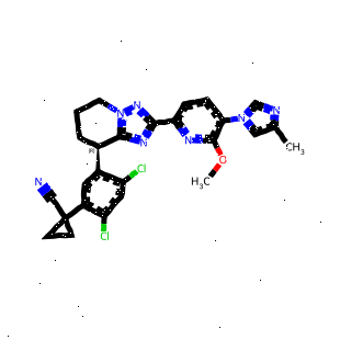 COc1nc(-c2nc3n(n2)CCC[C@@H]3c2cc(C3(C#N)CC3)c(Cl)cc2Cl)ccc1-n1cnc(C)c1